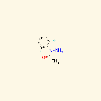 CC(=O)N(N)c1c(F)cccc1F